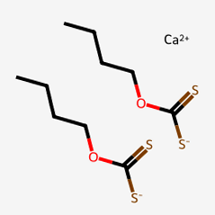 CCCCOC(=S)[S-].CCCCOC(=S)[S-].[Ca+2]